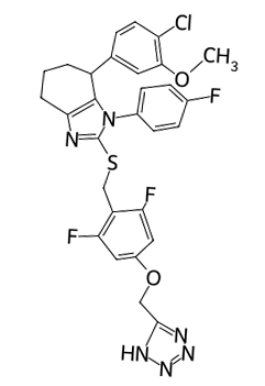 COc1cc(C2CCCc3nc(SCc4c(F)cc(OCc5nnn[nH]5)cc4F)n(-c4ccc(F)cc4)c32)ccc1Cl